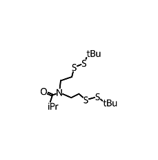 CC(C)C(=O)N(CCSSC(C)(C)C)CCSSC(C)(C)C